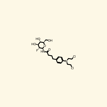 O=C(CCCc1ccc(N(CCCl)CCCl)cc1)N[C@@H]1O[C@H](CO)[C@@H](O)[C@H](O)[C@H]1F